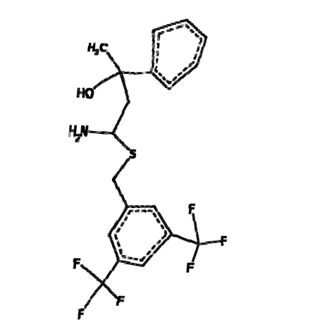 CC(O)(CC(N)SCc1cc(C(F)(F)F)cc(C(F)(F)F)c1)c1ccccc1